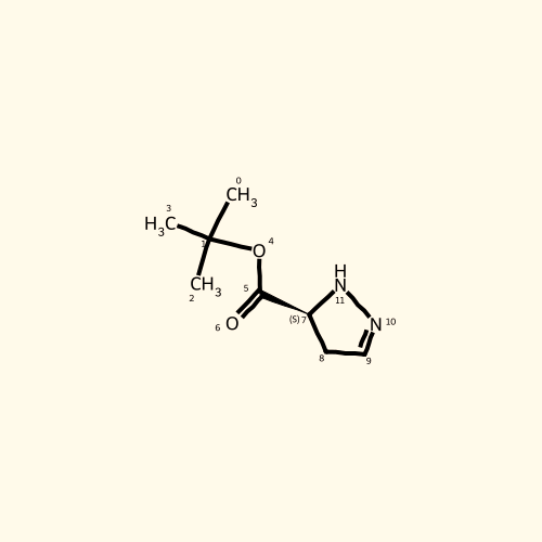 CC(C)(C)OC(=O)[C@@H]1CC=NN1